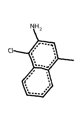 Cc1cc(N)c(Cl)c2ccccc12